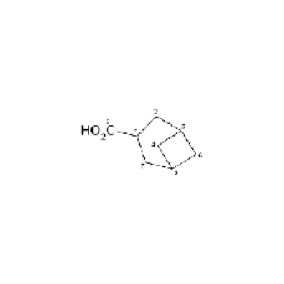 O=C(O)C1CC2CC(C2)C1